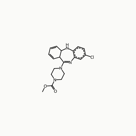 COC(=O)N1CCN(C2=Nc3cc(Cl)ccc3NC3C=CC=CC23)CC1